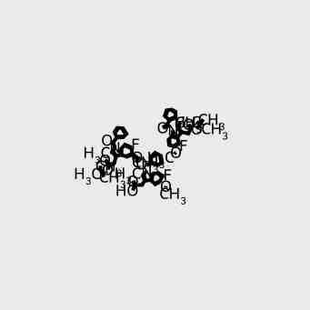 COc1cc2c(CC(=O)O)c(C)n(C(=O)c3ccccc3)c2cc1F.COc1cc2c(CC(=O)OC(C)(C)C)c(C)n(C(=O)c3ccccc3)c2cc1F.COc1ccc2c(c1F)c(CC(=O)OC(C)(C)C)c(C)n2C(=O)c1ccccc1